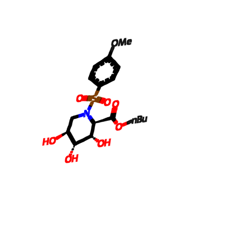 CCCCOC(=O)[C@H]1[C@H](O)[C@H](O)[C@@H](O)CN1S(=O)(=O)c1ccc(OC)cc1